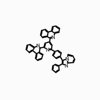 c1ccc(-c2nc3ccccn3c2-c2ccc(-c3cc(-c4nc5ccccc5c5ccccc45)cc(-c4nc5ccccc5c5ccccc45)n3)cc2)cc1